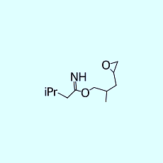 CC(C)CC(=N)OCC(C)CC1CO1